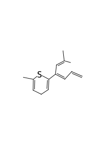 C=C/C=C(\C=C(C)C)C1=CCC=C(C)S1